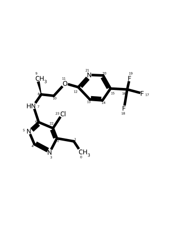 CCc1ncnc(N[C@@H](C)COc2ccc(C(F)(F)F)cn2)c1Cl